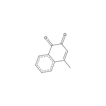 CC1=CC(=O)C(=O)c2ccccc21